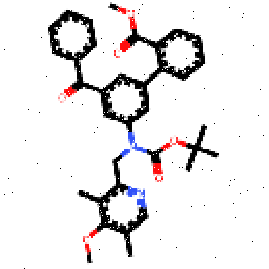 COC(=O)c1ccccc1-c1cc(C(=O)c2ccccc2)cc(N(Cc2ncc(C)c(OC)c2C)C(=O)OC(C)(C)C)c1